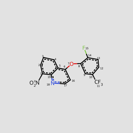 O=[N+]([O-])c1cccc2c(Oc3cc(C(F)(F)F)ccc3F)ccnc12